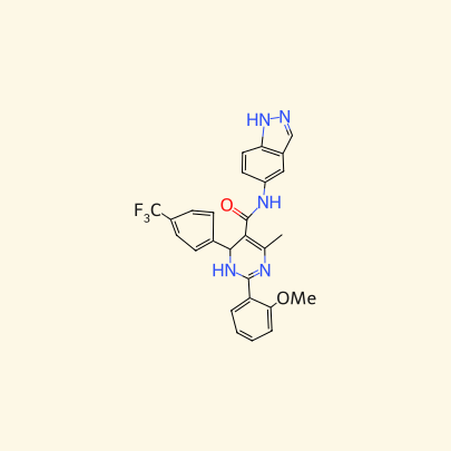 COc1ccccc1C1=NC(C)=C(C(=O)Nc2ccc3[nH]ncc3c2)C(c2ccc(C(F)(F)F)cc2)N1